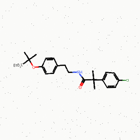 CCOC(=O)C(C)(C)Oc1ccc(CCNC(=O)C(C)(C)c2ccc(Cl)cc2)cc1